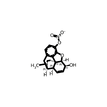 CN1CC[C@]23c4c5ccc(O[N+](=O)[O-])c4O[C@H]2[C@@H](O)C=C[C@H]3[C@H]1C5